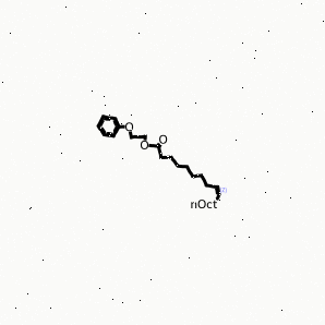 CCCCCCCC/C=C\CCCCCCCC(=O)OCCOc1ccccc1